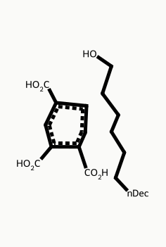 CCCCCCCCCCCCCCCCO.O=C(O)c1ccc(C(=O)O)c(C(=O)O)c1